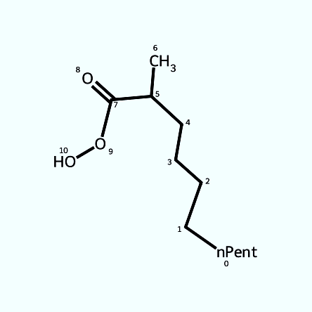 CCCCCCCCCC(C)C(=O)OO